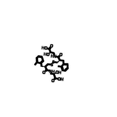 Cc1ccccc1C[C@H](CSSC[C@@H](Cc1ccccc1C)C(=O)NC[C@H](O)C(=O)O)C(=O)NC[C@H](O)C(=O)O